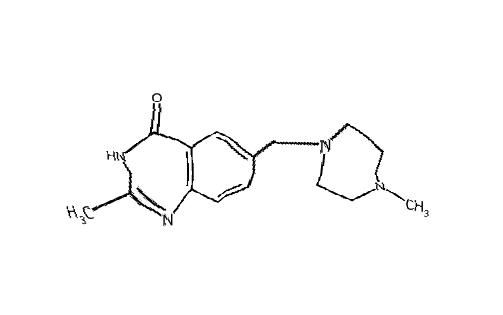 Cc1nc2ccc(CN3CCN(C)CC3)cc2c(=O)[nH]1